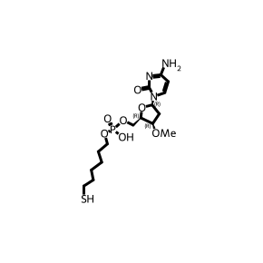 CO[C@@H]1C[C@H](n2ccc(N)nc2=O)O[C@@H]1COP(=O)(O)OCCCCCCS